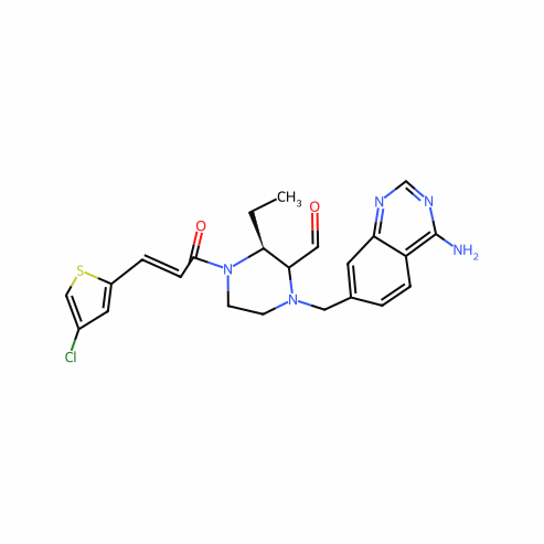 CC[C@H]1C(C=O)N(Cc2ccc3c(N)ncnc3c2)CCN1C(=O)C=Cc1cc(Cl)cs1